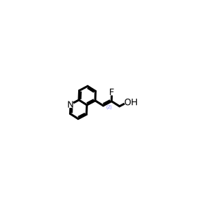 OC/C(F)=C/c1cccc2ncccc12